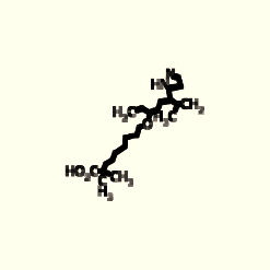 C=C/C(=C\C=C(/C(=C)C)c1ccn[nH]1)OCCCCCCCC(C)(C)C(=O)O